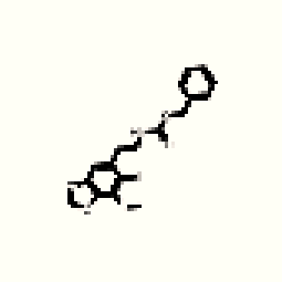 COc1c(I)c(CCNC(=O)OCc2ccccc2)cc2c1OCO2